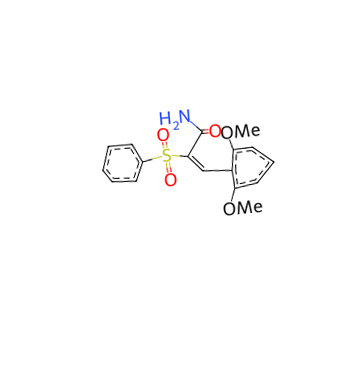 COc1cccc(OC)c1/C=C(\C(N)=O)S(=O)(=O)c1ccccc1